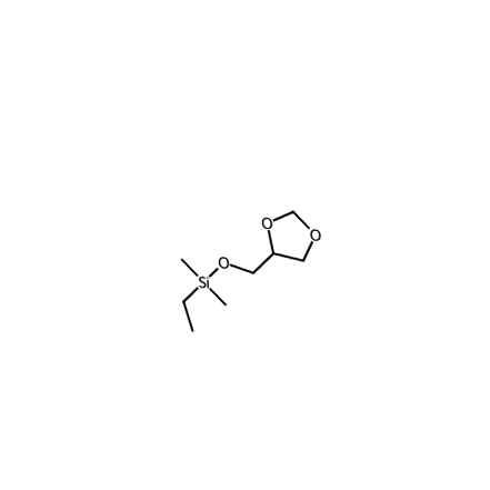 CC[Si](C)(C)OCC1COCO1